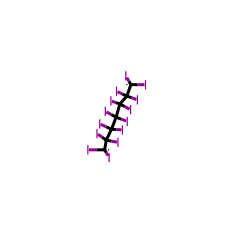 I[C](I)C(I)(I)C(I)(I)C(I)(I)C(I)(I)C(I)(I)[C](I)I